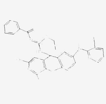 Cc1cccnc1Nc1ccc2c(c1)[C@@]1(CCO/C(=N\C(=O)c3ccccc3)N1)c1cc(Cl)nc(F)c1O2